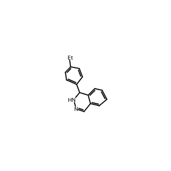 CCc1ccc(C2NN=Cc3ccccc32)cc1